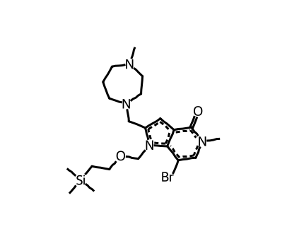 CN1CCCN(Cc2cc3c(=O)n(C)cc(Br)c3n2COCC[Si](C)(C)C)CC1